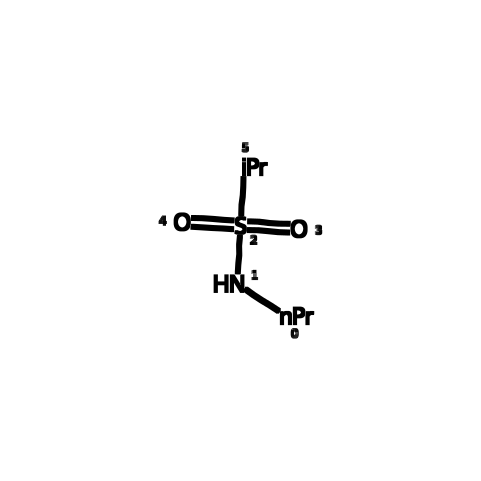 C[CH]CNS(=O)(=O)C(C)C